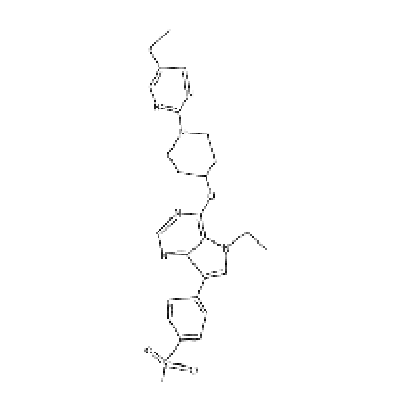 CCc1cnc(N2CCC(Oc3ncnc4c(-c5ccc(S(C)(=O)=O)cc5)cn(CC)c34)CC2)nc1